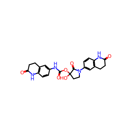 O=C1CCc2cc(NC(=O)OC3(O)CCN(c4ccc5c(c4)CCC(=O)N5)C3=O)ccc2N1